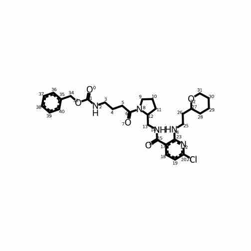 O=C(NCCCC(=O)N1CCCC1CNC(=O)c1ccc(Cl)nc1NCCC1CCCCO1)OCc1ccccc1